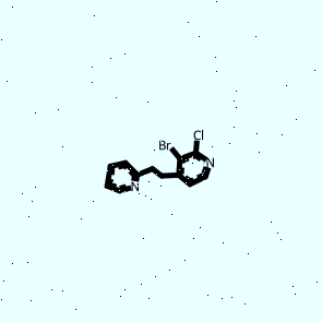 Clc1nccc(CCc2ccccn2)c1Br